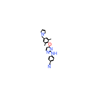 Cc1cc(CN2CC=CC2)cc(C)c1Oc1ccnc(Nc2ccc(C#N)cc2)n1